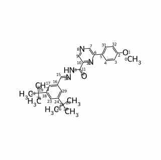 COc1ccc(-c2cncc(C(=O)NN=Cc3cc(C(C)(C)C)cc(C(C)(C)C)c3)n2)cc1